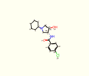 O=C(N[C@@H]1CN(C2CCCCC2)C[C@H]1O)c1ccc(Cl)cc1